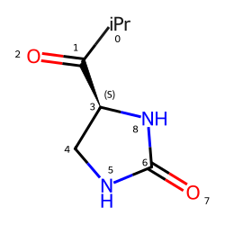 CC(C)C(=O)[C@@H]1CNC(=O)N1